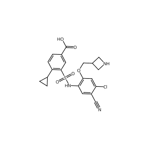 N#Cc1cc(NS(=O)(=O)c2cc(C(=O)O)ccc2C2CC2)c(OCC2CNC2)cc1Cl